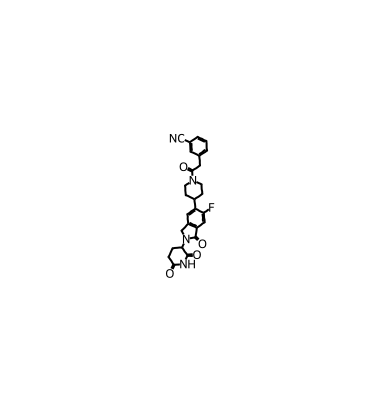 N#Cc1cccc(CC(=O)N2CCC(c3cc4c(cc3F)C(=O)N(C3CCC(=O)NC3=O)C4)CC2)c1